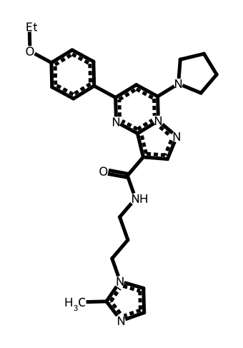 CCOc1ccc(-c2cc(N3CCCC3)n3ncc(C(=O)NCCCn4ccnc4C)c3n2)cc1